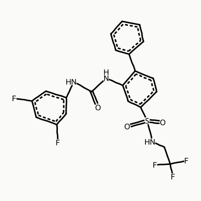 O=C(Nc1cc(F)cc(F)c1)Nc1cc(S(=O)(=O)NCC(F)(F)F)ccc1-c1ccccc1